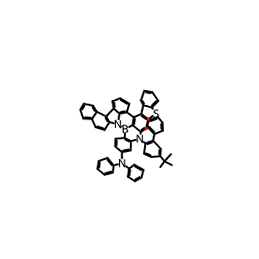 CC(C)(C)c1ccc(N2c3cc(N(c4ccccc4)c4ccccc4)ccc3B3c4c2cc2sc5ccccc5c2c4-c2cccc4c5c6ccccc6ccc5n3c24)c(-c2ccccc2)c1